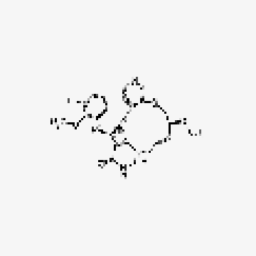 COc1c(F)cccc1Nc1c2[nH]c3c1C(=O)NC[C@@H]3C/C=C/[C@H](OC)COc1cnccc1-2